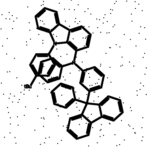 CC(C)(C)c1ccc(-n2c3ccccc3c3cccc(N(c4ccccc4)c4cccc(C5(c6ccccc6)c6ccccc6-c6ccccc65)c4)c32)cc1